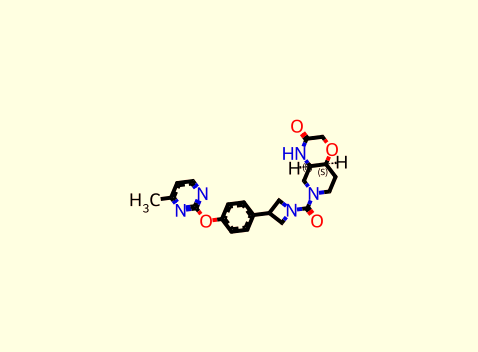 Cc1ccnc(Oc2ccc(C3CN(C(=O)N4CC[C@@H]5OCC(=O)N[C@@H]5C4)C3)cc2)n1